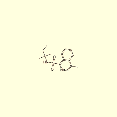 CCC(C)(C)NS(=O)(=O)c1ncc(C)c2ccccc12